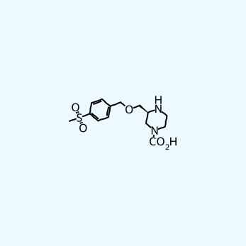 CS(=O)(=O)c1ccc(COC[C@@H]2CN(C(=O)O)CCN2)cc1